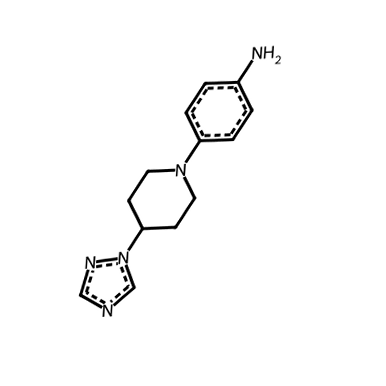 Nc1ccc(N2CCC(n3cncn3)CC2)cc1